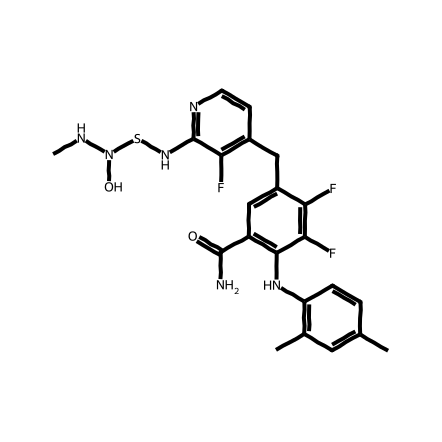 CNN(O)SNc1nccc(Cc2cc(C(N)=O)c(Nc3ccc(C)cc3C)c(F)c2F)c1F